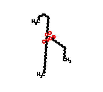 CC/C=C\C/C=C\C/C=C\CCCCCCCC(=O)O[C@H](COC(=O)CCCCCCC/C=C\CCCCCC)COC(=O)CCCCCCCCCCCCCCCCCC